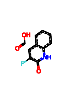 O=CO.O=c1[nH]c2ccccc2cc1F